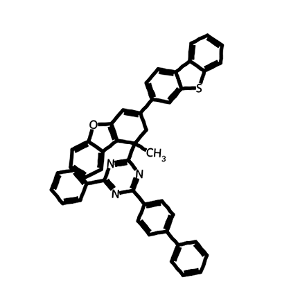 CC1(c2nc(-c3ccccc3)nc(-c3ccc(-c4ccccc4)cc3)n2)CC(c2ccc3c(c2)sc2ccccc23)=Cc2oc3ccccc3c21